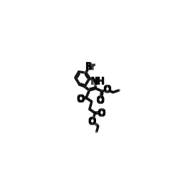 CCOC(=O)CCC(=O)c1c(C(=O)OCC)[nH]c2c(Br)cccc12